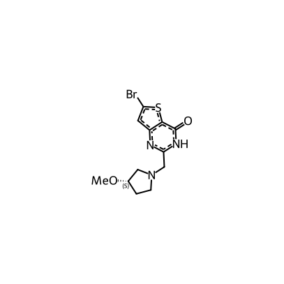 CO[C@H]1CCN(Cc2nc3cc(Br)sc3c(=O)[nH]2)C1